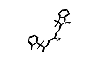 C=C(/C=C/C(Br)=C/C=C1/N(C)c2ccccc2C1(C)C)C(C)(C)c1ccccc1C